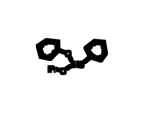 CC(C)O[SiH](Oc1ccccc1)Oc1ccccc1